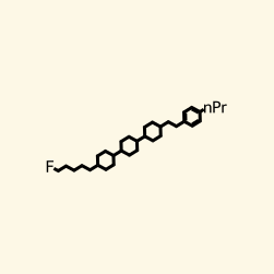 CCCc1ccc(CCC2CCC(C3CCC(C4CCC(CCCCCF)CC4)CC3)CC2)cc1